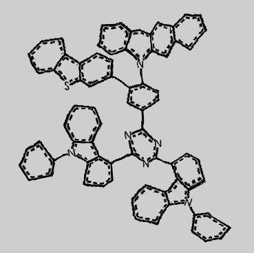 c1ccc(-n2c3ccccc3c3c(-c4nc(-c5ccc(-n6c7ccccc7c7cc8ccccc8cc76)c(-c6ccc7c(c6)sc6ccccc67)c5)nc(-c5cccc6c5c5ccccc5n6-c5ccccc5)n4)cccc32)cc1